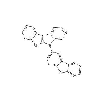 c1ccc2c(c1)oc1ccc(-n3c4cnccc4c4c5ccccc5oc43)cc12